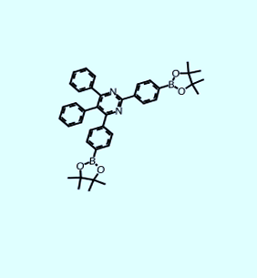 CC1(C)OB(c2ccc(-c3nc(-c4ccccc4)c(-c4ccccc4)c(-c4ccc(B5OC(C)(C)C(C)(C)O5)cc4)n3)cc2)OC1(C)C